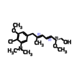 COc1cc(C/C(C)=C/C=C/[C@H](CO)OC)cc(N(C)C)c1Cl